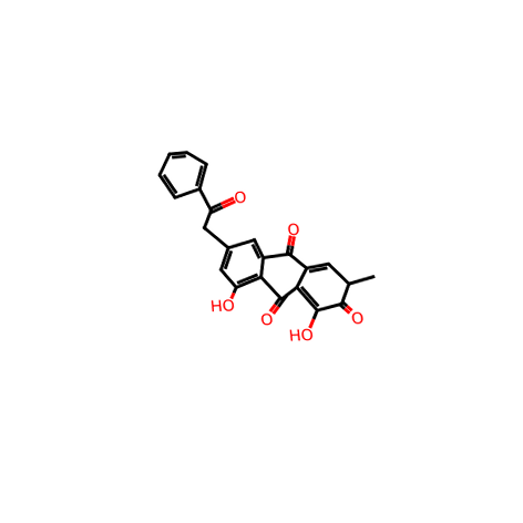 CC1C=C2C(=O)c3cc(CC(=O)c4ccccc4)cc(O)c3C(=O)C2=C(O)C1=O